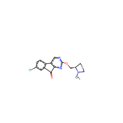 CN1CCC[C@@H]1COc1ncc2c(n1)C(=O)c1cc(Cl)ccc1-2